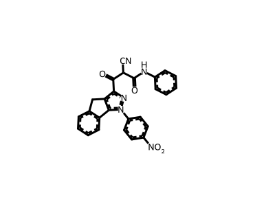 N#CC(C(=O)Nc1ccccc1)C(=O)c1nn(-c2ccc([N+](=O)[O-])cc2)c2c1Cc1ccccc1-2